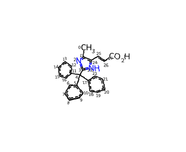 Cc1nc(C(c2ccccc2)(c2ccccc2)c2ccccc2)[nH]c1C=CC(=O)O